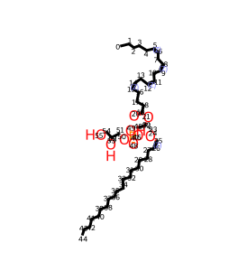 CCCCC/C=C\C/C=C\C/C=C\C/C=C\CCCC(=O)O[C@H](CO/C=C\CCCCCCCCCCCCCCCCCC)COP(=O)(O)OC[C@@H](O)CO